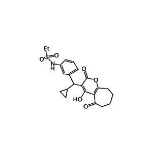 CCS(=O)(=O)Nc1cccc(C(c2c(O)c3c(oc2=O)CCCCC3=O)C2CC2)c1